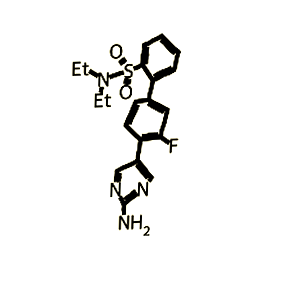 CCN(CC)S(=O)(=O)c1ccccc1-c1ccc(-c2cnc(N)nc2)c(F)c1